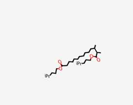 CC(C)CCCOC(=O)CCCCCCCCCCC(C)C(C)C(=O)OCCCC(C)C